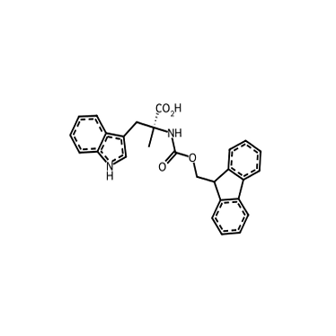 C[C@@](Cc1c[nH]c2ccccc12)(NC(=O)OCC1c2ccccc2-c2ccccc21)C(=O)O